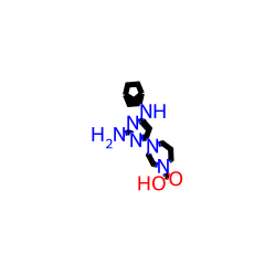 Nc1nc(NC2CC3CCC2C3)cc(N2CCCN(C(=O)O)CC2)n1